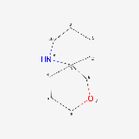 C1CCC2(CCCOC2)NC1